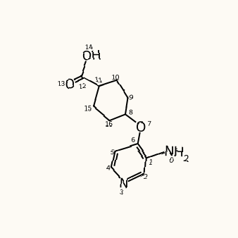 Nc1cnccc1OC1CCC(C(=O)O)CC1